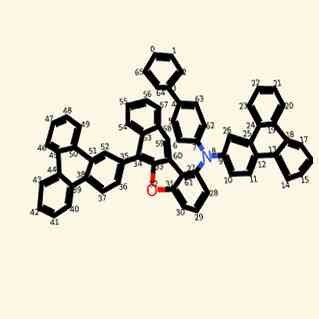 c1ccc(-c2ccc(N(c3ccc4c5ccccc5c5ccccc5c4c3)c3cccc4oc5c(-c6ccc7c8ccccc8c8ccccc8c7c6)c6ccccc6cc5c34)cc2)cc1